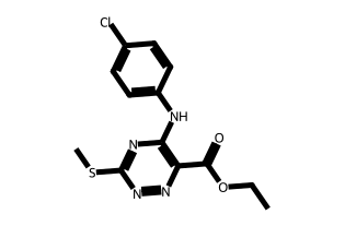 CCOC(=O)c1nnc(SC)nc1Nc1ccc(Cl)cc1